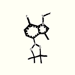 Cc1cn(SI)c2c(F)ccc(B3OC(C)(C)C(C)(C)O3)c12